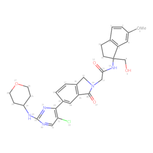 COc1ccc2c(c1)C(CO)(NC(=O)CN1Cc3ccc(-c4nc(NC5CCOCC5)ncc4Cl)cc3C1=O)CC2